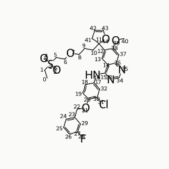 CCS(=O)(=O)CCOCCCC1(c2cc3c(Nc4ccc(OCc5cccc(F)c5)c(Cl)c4)ncnc3cc2OC)CC=CO1